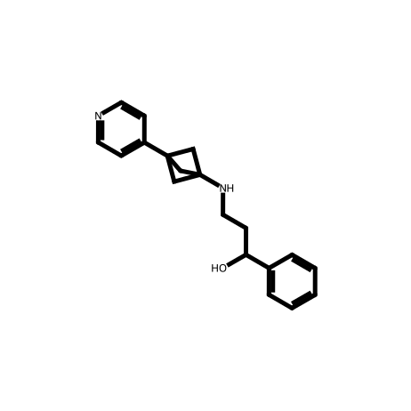 OC(CCNC12CC(c3ccncc3)(C1)C2)c1ccccc1